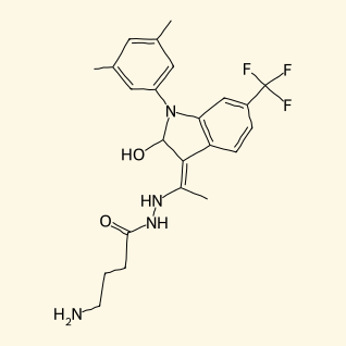 C/C(NNC(=O)CCCN)=C1\c2ccc(C(F)(F)F)cc2N(c2cc(C)cc(C)c2)C1O